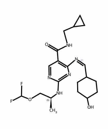 C[C@@H](COC(F)F)Nc1ncc(C(=O)NCC2CC2)c(/N=C\C2CCC(O)CC2)n1